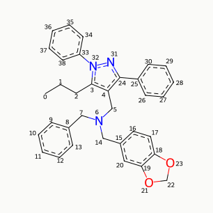 CCCc1c(CN(Cc2ccccc2)Cc2ccc3c(c2)OCO3)c(-c2ccccc2)nn1-c1ccccc1